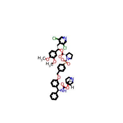 COc1ccc([C@H](Cc2c(Cl)cncc2Cl)OC(=O)[C@@H]2CCCN2S(=O)(=O)c2ccc(COc3cccc([C@@H](NC(=O)O[C@H]4CN5CCC4CC5)c4ccccc4)c3)cc2)cc1OC